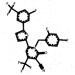 N#Cc1c(C(F)(F)F)cc(-c2ccc(-c3cc(F)cc(C(F)(F)F)c3)s2)n(Cc2ccc(F)cc2F)c1=O